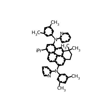 Cc1cc(C)cc(N(c2ccccn2)c2cc(C(C)C)c3ccc4c(N(c5cc(C)cc(C)c5)c5ccccn5)cc5c6c(cc2c3c46)C(C)(C)CC5)c1